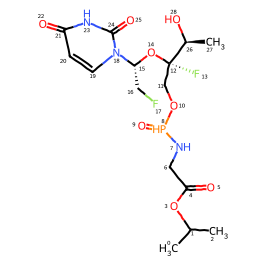 CC(C)OC(=O)CN[PH](=O)OC[C@@](F)(O[C@H](CF)n1ccc(=O)[nH]c1=O)[C@H](C)O